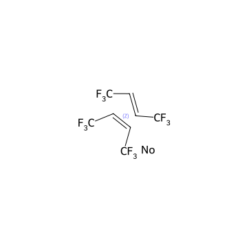 FC(F)(F)/C=C\C(F)(F)F.FC(F)(F)C=CC(F)(F)F.[No]